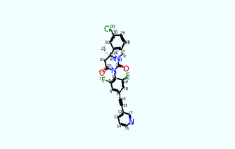 CN1C(=O)N(c2c(F)cc(C#Cc3cccnc3)cc2F)C(=O)C[C@@]1(C)c1cccc(Cl)c1